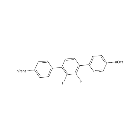 CCCCCCCCc1ccc(-c2ccc(-c3ccc(CCCCC)cc3)c(F)c2F)cc1